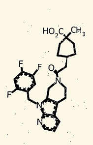 C[C@]1(C(=O)O)CC[C@@H](CC(=O)N2CCc3c(n(Cc4cc(F)c(F)cc4F)c4ncccc34)C2)CC1